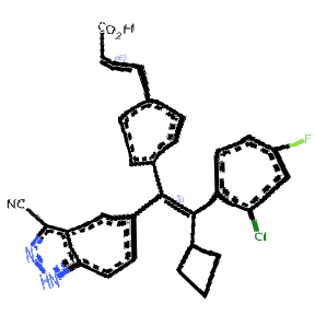 N#Cc1n[nH]c2ccc(/C(=C(/c3ccc(F)cc3Cl)C3CCC3)c3ccc(/C=C/C(=O)O)cc3)cc12